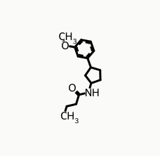 CCCC(=O)NC1CCC(c2cccc(OC)c2)C1